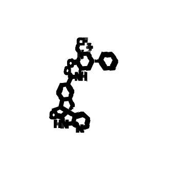 C[C@@H]1[C@H](c2ccccc2)C[C@H](NC(=O)C2=CC3C[C@]4(C(=O)Nc5ncccc54)[C@@H](C)C3C=C2)C(=O)N1CC(F)(F)F